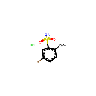 COc1ccc(Br)cc1S(N)(=O)=O.Cl